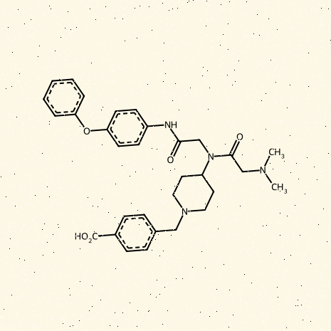 CN(C)CC(=O)N(CC(=O)Nc1ccc(Oc2ccccc2)cc1)C1CCN(Cc2ccc(C(=O)O)cc2)CC1